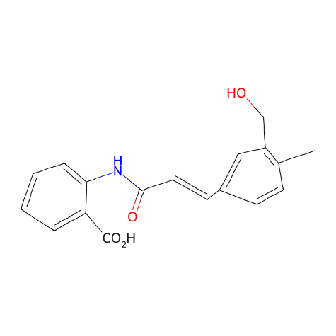 Cc1ccc(/C=C/C(=O)Nc2ccccc2C(=O)O)cc1CO